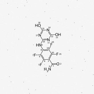 NC(=O)c1c(F)c(F)c(Nc2nc(O)nc(O)n2)c(F)c1F